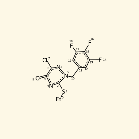 CCSc1nc(=O)c(Cl)nn1Cc1cc(F)c(F)c(F)c1